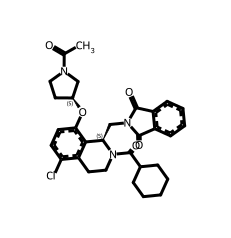 CC(=O)N1CC[C@H](Oc2ccc(Cl)c3c2[C@@H](CN2C(=O)c4ccccc4C2=O)N(C(=O)C2CCCCC2)CC3)C1